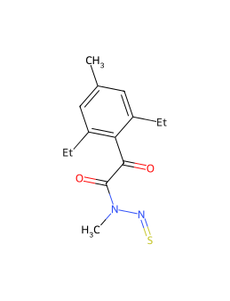 CCc1cc(C)cc(CC)c1C(=O)C(=O)N(C)N=S